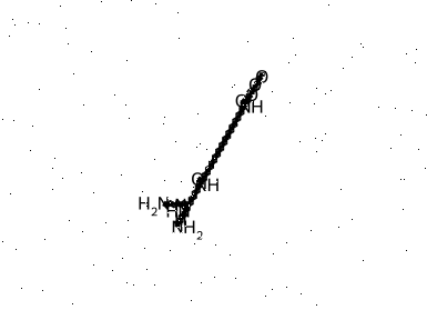 COCCOCCOCCC(=O)NCCCCCCCCCCCCCCCCCCCCCCCCC(=O)NCCCCCCC(CNCCCCN)CNCCCCN